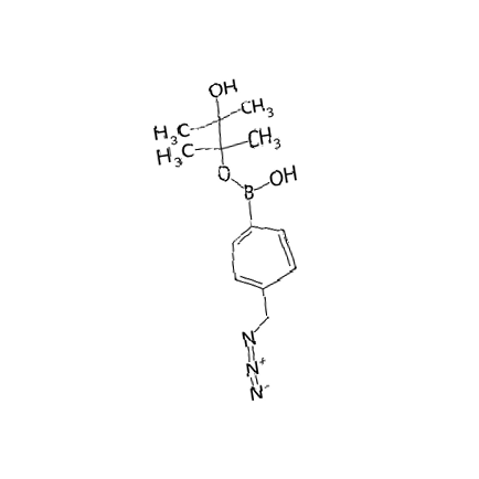 CC(C)(O)C(C)(C)OB(O)c1ccc(CN=[N+]=[N-])cc1